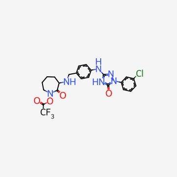 O=C1C(NCc2ccc(Nc3nn(-c4cccc(Cl)c4)c(=O)[nH]3)cc2)CCCCN1OC(=O)C(F)(F)F